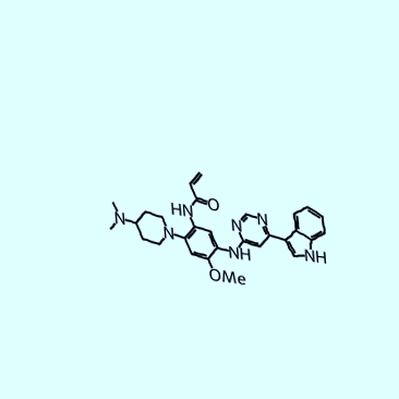 C=CC(=O)Nc1cc(Nc2cc(-c3c[nH]c4ccccc34)ncn2)c(OC)cc1N1CCC(N(C)C)CC1